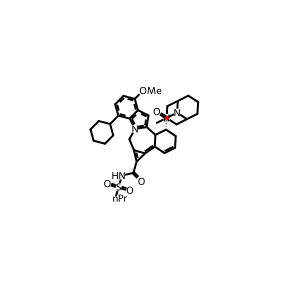 CCCS(=O)(=O)NC(=O)C1=C2Cn3c(cc4c(OC)ccc(C5CCCCC5)c43)C3C(=C21)C=CC[C@H]3C(=O)N1C2CCCC1CN(C)C2